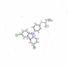 CCCCC(CC)Cc1ccc(-n2c3ccc(Br)cc3c3cc(Br)ccc32)cc1